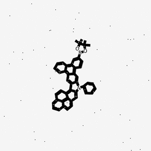 CC1(C)OB(c2ccc3c(c2)c2ccccc2c2cc4c5c6ccc7cccc8ccc(cc5n(-c5ccccc5)c4cc32)c6c87)OC1(C)C